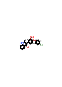 Cc1[nH]c2ccccc2c(=O)c1-c1ccc(Oc2ccc(Cl)cc2)c(O)c1